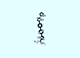 C[C@H](N)c1ncc(-c2cnc(-c3ccc(C4CN=C([C@@H]5CCCN5)N4)cc3)cn2)[nH]1